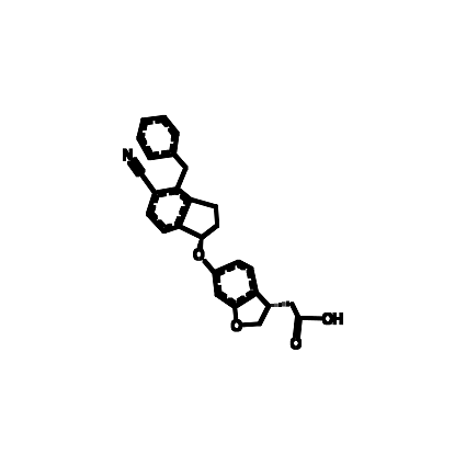 N#Cc1ccc2c(c1Cc1ccccc1)CC[C@H]2Oc1ccc2c(c1)OC[C@H]2CC(=O)O